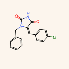 O=C1NC(=O)N(Cc2ccccc2)C1=Cc1ccc(Cl)cc1